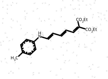 CCOC(=O)C(=C/C=C/C=C/Nc1ccc(C)cc1)C(=O)OCC